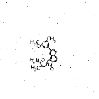 C=C(CN1Cc2c(ccc3ccc(-c4cc(C)cc(OC)c4)cc23)C1=O)C(N)=O